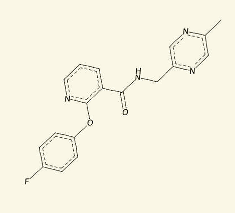 Cc1cnc(CNC(=O)c2cccnc2Oc2ccc(F)cc2)cn1